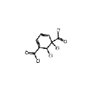 O=C(Cl)C1=CC=CC(Cl)(C(=O)Cl)C1Cl